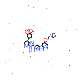 c1cc(-c2ccc3c(c2)OCO3)c2nc(-c3cc(-c4cncc(OCCN5CCCC5)c4)[nH]n3)[nH]c2n1